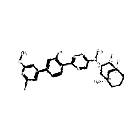 COc1cc(-c2ccc(-c3ncc(N(C)[C@H]4C[C@]5(C)CCC[C@@H](C5)[C@H]4F)nn3)c(O)c2)cc(F)n1